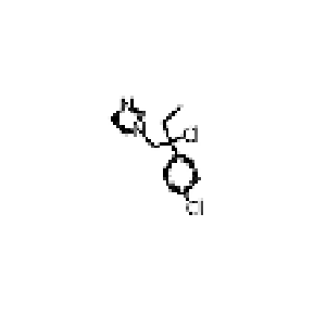 CCC(Cl)(Cn1ccnc1)c1ccc(Cl)cc1